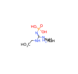 NC(=NP(=O)(O)O)NCC(=O)O.[NaH].[NaH]